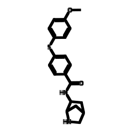 COc1ccc(Sc2ccc(C(=O)NC3CC4CNC3C4)cc2)cc1